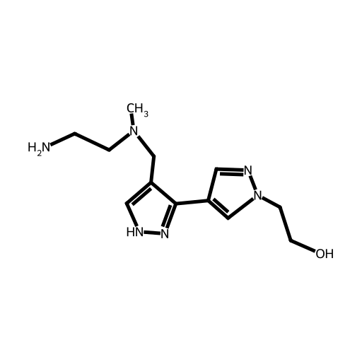 CN(CCN)Cc1c[nH]nc1-c1cnn(CCO)c1